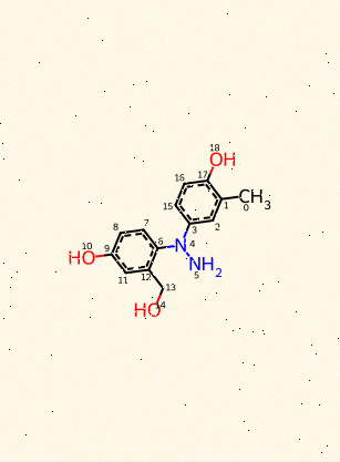 Cc1cc(N(N)c2ccc(O)cc2CO)ccc1O